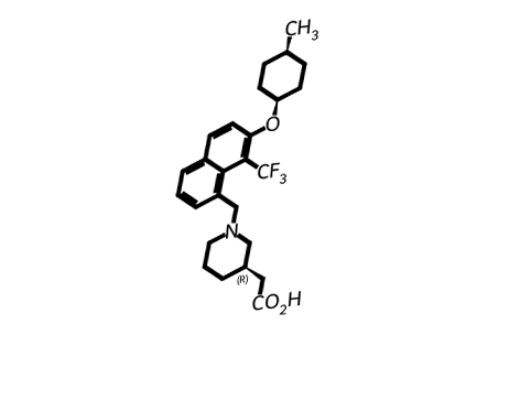 C[C@H]1CC[C@@H](Oc2ccc3cccc(CN4CCC[C@H](CC(=O)O)C4)c3c2C(F)(F)F)CC1